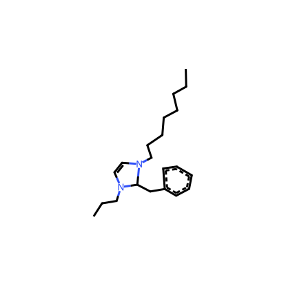 CCCCCCCCN1C=CN(CCC)C1Cc1ccccc1